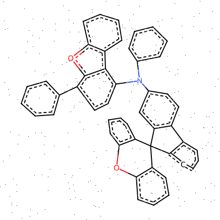 c1ccc(-c2ccc(N(c3ccccc3)c3ccc4c(c3)C3(c5ccccc5Oc5ccccc53)c3ccccc3-4)c3c2oc2ccccc23)cc1